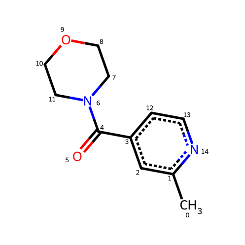 Cc1cc(C(=O)N2CCOCC2)ccn1